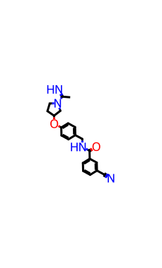 CC(=N)N1CCC(Oc2ccc(CNC(=O)c3cccc(C#N)c3)cc2)C1